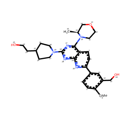 COc1ccc(-c2ccc3c(N4CCOC[C@@H]4C)nc(N4CCC(CCO)CC4)nc3n2)cc1CO